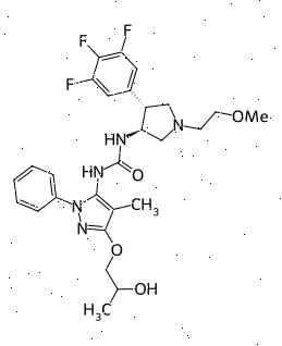 COCCN1C[C@@H](NC(=O)Nc2c(C)c(OCC(C)O)nn2-c2ccccc2)[C@H](c2cc(F)c(F)c(F)c2)C1